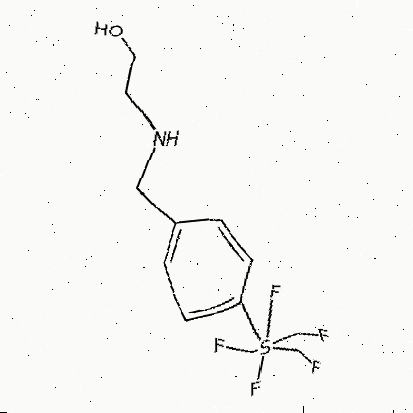 OCCNCc1ccc(S(F)(F)(F)(F)F)cc1